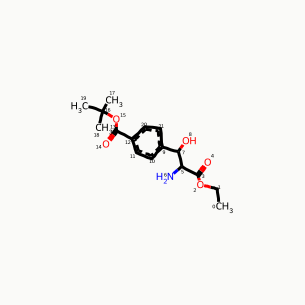 CCOC(=O)C(N)C(O)c1ccc(C(=O)OC(C)(C)C)cc1